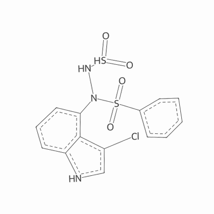 O=[SH](=O)NN(c1cccc2[nH]cc(Cl)c12)S(=O)(=O)c1ccccc1